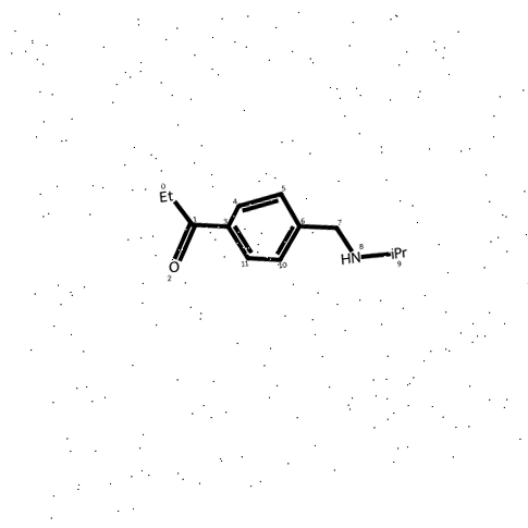 CCC(=O)c1ccc(CNC(C)C)cc1